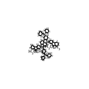 CC1(C)c2ccccc2-c2ccc(N(c3ccc(N(c4ccccc4)c4ccccc4)cc3)c3ccc(N(c4ccc(N(c5ccccc5)c5ccccc5)cc4)c4ccc5c(c4)C(C)(C)c4ccccc4-5)c4ccccc34)cc21